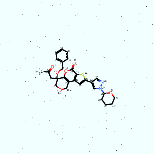 CC(=O)CC1(OCc2ccccc2)COCc2c1oc(=O)c1sc(-c3cnn(C4CCCCO4)c3)cc21